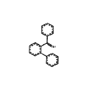 N=C(c1ccccc1)c1ccccc1-c1ccccc1